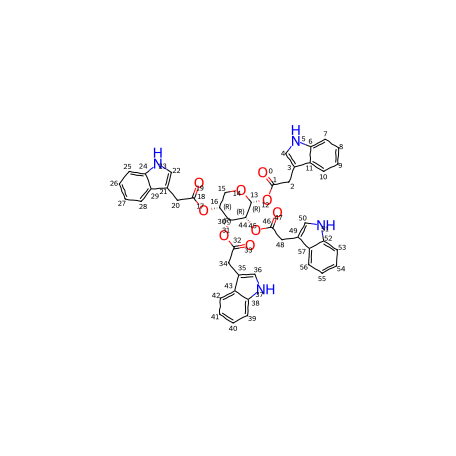 O=C(Cc1c[nH]c2ccccc12)O[C@H]1OC[C@@H](OC(=O)Cc2c[nH]c3ccccc23)[C@@H](OC(=O)Cc2c[nH]c3ccccc23)[C@H]1OC(=O)Cc1c[nH]c2ccccc12